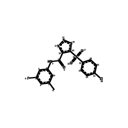 Cc1cc(F)cc(NC(=O)c2nnsc2S(=O)(=O)c2ccc(Cl)cc2)c1